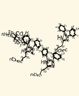 CCCCCCC(C(=O)O)(C(CC)(CC)C(=O)O)S(=O)(=O)O.CCCCCCCCCCCCC1=NN(c2ccccc2)N(c2ccccc2)N1.CCCCCCCCCCCCC1=NN(c2ccccc2)N(c2ccccc2)N1.CCCCCCCCCCCCC1=NN(c2ccccc2)N(c2ccccc2)N1